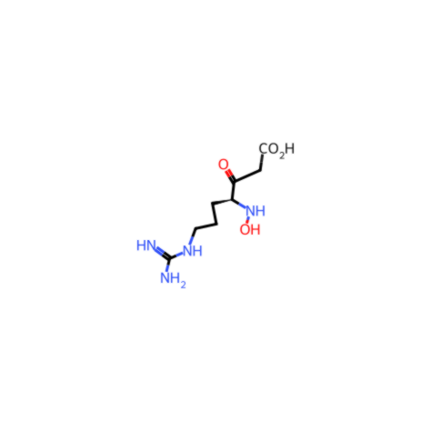 N=C(N)NCCC[C@H](NO)C(=O)CC(=O)O